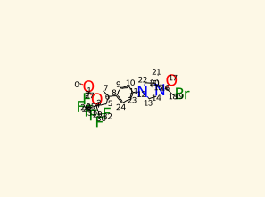 COCOC(CC(C)c1ccc(N2CCN(C(=O)CBr)[C@@H](C)C2)cc1)(C(F)(F)F)C(F)(F)F